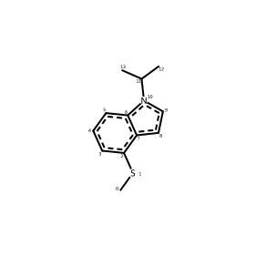 CSc1cccc2c1ccn2C(C)C